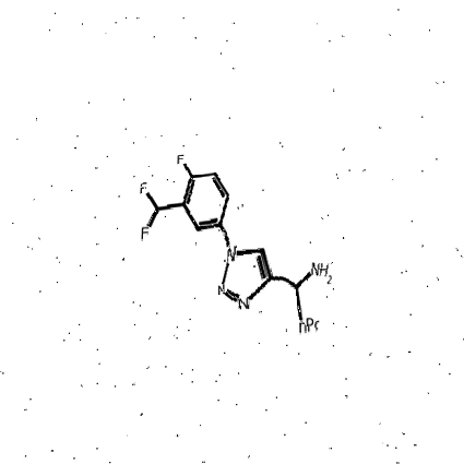 CCCC(N)c1cn(-c2ccc(F)c(C(F)F)c2)nn1